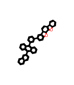 C1=CC2OC3=C(C=CC4c5cc(-c6cccc(-c7c8ccccc8c(-c8ccc9ccccc9c8)c8ccccc78)c6)ccc5OC34)C2C=C1